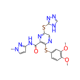 COc1ccc(Sc2ncc(Sc3nnc[nH]3)nc2C(=O)Nc2ccn(C)n2)cc1OC